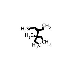 C=CC(=C[SiH3])C(C)(CC)CC